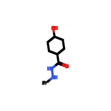 CC(C)NNC(=O)C1CCC(O)CC1